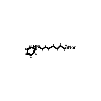 CCCCCCCCCCCCCCCCNc1ccccc1